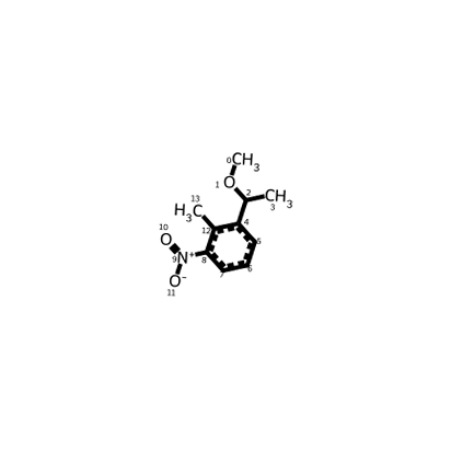 COC(C)c1cccc([N+](=O)[O-])c1C